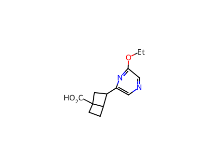 CCOc1cncc(C2CC3(C(=O)O)CCC23)n1